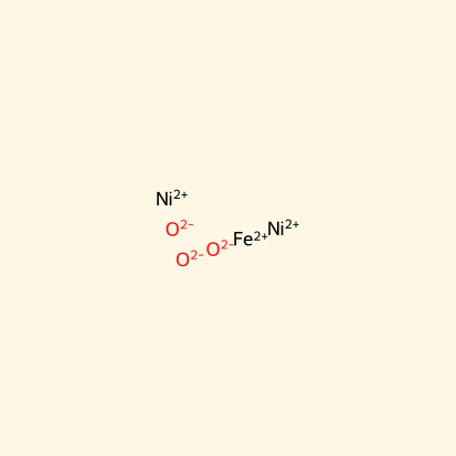 [Fe+2].[Ni+2].[Ni+2].[O-2].[O-2].[O-2]